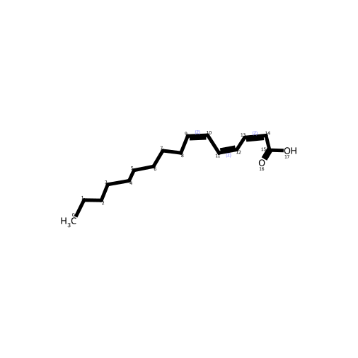 CCCCCCCCC\C=C/C=C\C=C/C(=O)O